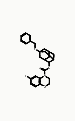 O=C(OC1C2CC3CC1CC(OCc1ccccc1)(C3)C2)N1CCOc2ccc(F)cc21